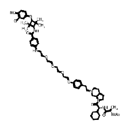 CN[C@@H](C)C(=O)N[C@H](C(=O)N1CCC2CCN(CCc3ccc(OCCOCCOCCOCCNc4ccc(C(=O)NC5C(C)(C)C(Oc6ccc(C#N)c(Cl)c6)C5(C)C)cc4)cc3)CC21)C1CCCCC1